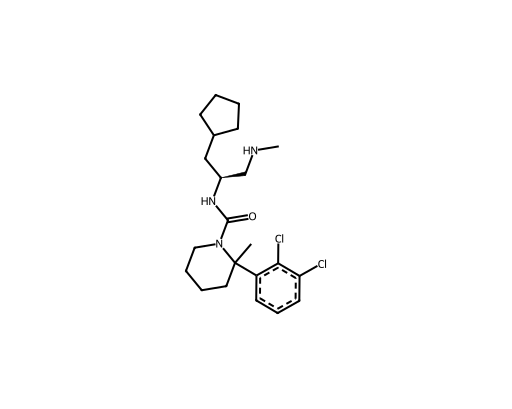 CNC[C@H](CC1CCCC1)NC(=O)N1CCCCC1(C)c1cccc(Cl)c1Cl